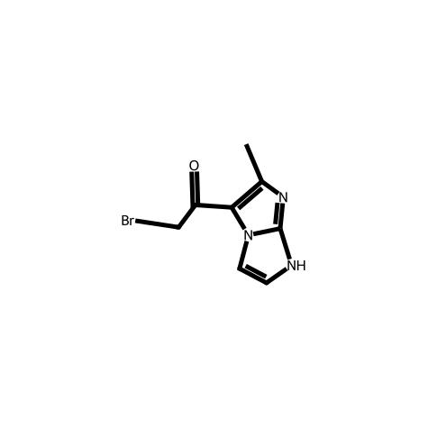 Cc1nc2[nH]ccn2c1C(=O)CBr